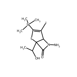 CC(O)C12SC([Si](C)(C)C)=C(I)C1N(N)C2=O